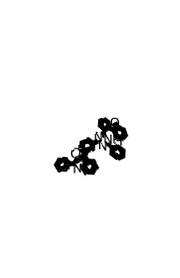 c1ccc(-c2nc3ccccc3c3c2oc2ccc(C4=NC(c5ccccc5)NC(c5cccc6oc7ccccc7c56)=N4)cc23)cc1